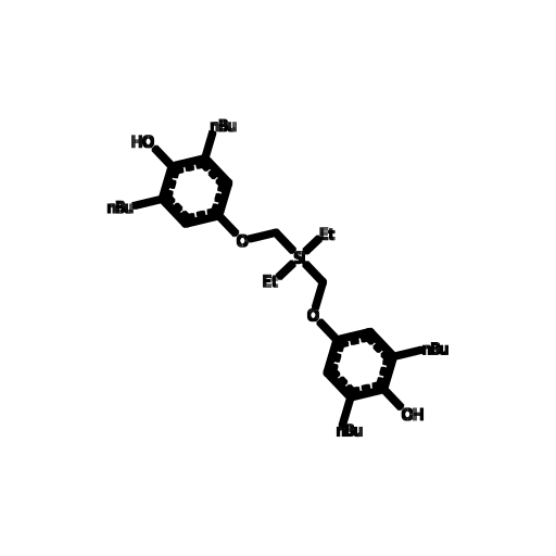 CCCCc1cc(OC[Si](CC)(CC)COc2cc(CCCC)c(O)c(CCCC)c2)cc(CCCC)c1O